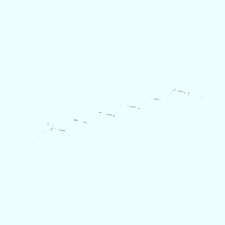 CC(C)(C)C(=O)OCCOCCOCCN=C=O